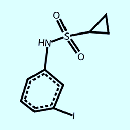 O=S(=O)(Nc1cccc(I)c1)C1CC1